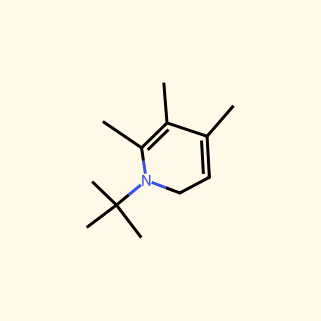 CC1=CCN(C(C)(C)C)C(C)=C1C